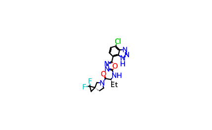 CC[C@@H](Nc1nnc(-c2ccc(Cl)c3nn[nH]c23)o1)C(=O)N1CC[C@]2(C1)CC2(F)F